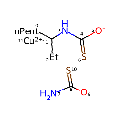 CCCCCC(CC)NC([O-])=S.NC([O-])=S.[Cu+2]